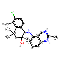 COc1c(Cl)ccc2c1C(C)(C)CC(O)(C(F)(F)F)C2Nc1cccc2nc(C)ncc12